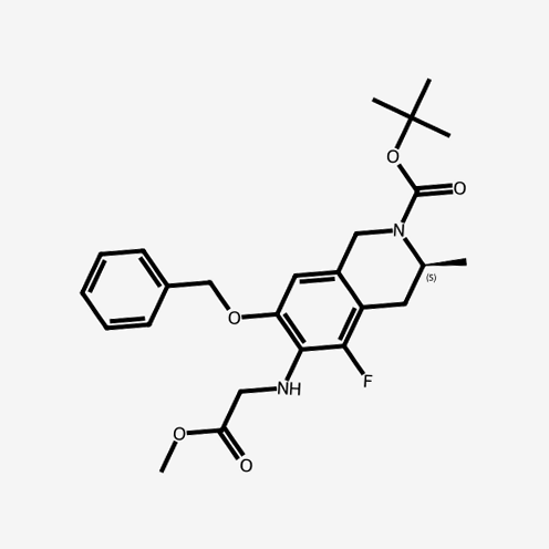 COC(=O)CNc1c(OCc2ccccc2)cc2c(c1F)C[C@H](C)N(C(=O)OC(C)(C)C)C2